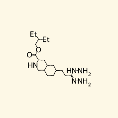 CCC(CC)COC(=O)C1CC2CC(CC/C(=N/N)NN)CCC2CN1